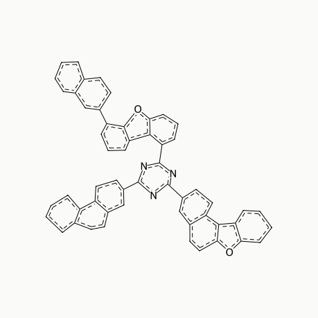 c1ccc2cc(-c3cccc4c3oc3cccc(-c5nc(-c6ccc7c(ccc8ccccc87)c6)nc(-c6ccc7c(ccc8oc9ccccc9c87)c6)n5)c34)ccc2c1